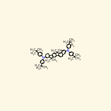 CC(C)(C)c1ccc(N(C2=CC3=C(CC2)c2cc4c(cc2C3(C)C)-c2ccc3cc(N(c5ccc(C(C)(C)C)cc5)c5ccc(C(C)(C)C)cc5)ccc3c2C4(C)C)c2ccc(C(C)(C)C)cc2)cc1